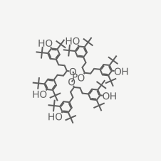 CC(C)(C)c1cc(CCC(CCc2cc(C(C)(C)C)c(O)c(C(C)(C)C)c2)OP(OC(CCc2cc(C(C)(C)C)c(O)c(C(C)(C)C)c2)CCc2cc(C(C)(C)C)c(O)c(C(C)(C)C)c2)OC(CCc2cc(C(C)(C)C)c(O)c(C(C)(C)C)c2)CCc2cc(C(C)(C)C)c(O)c(C(C)(C)C)c2)cc(C(C)(C)C)c1O